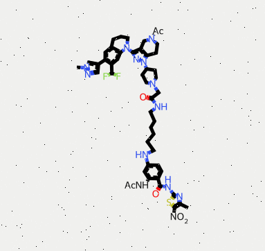 CC(=O)Nc1cc(NCCCCCCNC(=O)CN2CCC(n3nc(N4CCCc5cc(-c6cnn(C)c6)c(C(F)F)cc54)c4c3CCN(C(C)=O)C4)CC2)ccc1C(=O)Nc1nc(C)c([N+](=O)[O-])s1